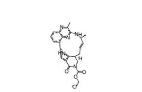 Cc1nc2cccc3c2nc1N[C@@H](C)/C=C/C[C@H]1CN(C(=O)OCCl)C(=O)c2cc-3[nH]c21